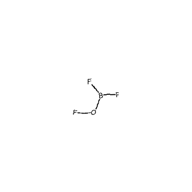 FOB(F)F